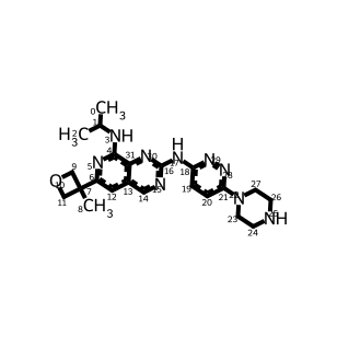 CC(C)Nc1nc(C2(C)COC2)cc2cnc(Nc3ccc(N4CCNCC4)nn3)nc12